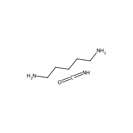 N=C=O.NCCCCCN